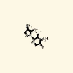 Nc1cnn(-c2ncc(F)c(N)c2F)c1N